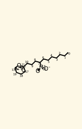 [CH2]CCCCCCC(CCC[C]1OC2CCCC1CC2)[N+](=O)[O-]